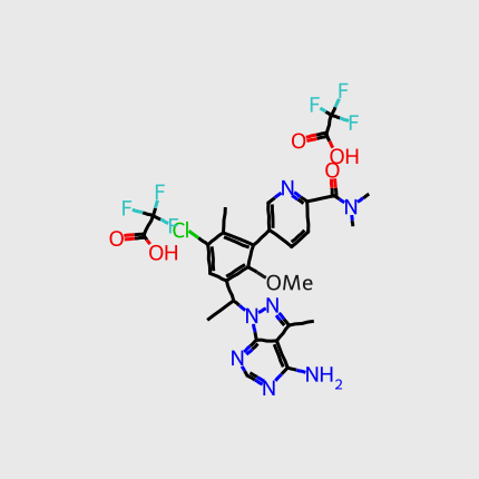 COc1c(C(C)n2nc(C)c3c(N)ncnc32)cc(Cl)c(C)c1-c1ccc(C(=O)N(C)C)nc1.O=C(O)C(F)(F)F.O=C(O)C(F)(F)F